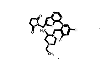 CCN1CCN(Cc2c(C)cc(Cl)cc2-c2ccnc3cc(CN4C(=O)CCC4=O)sc23)C(C)C1